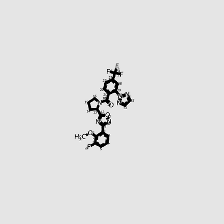 COc1c(F)cccc1-c1noc(C2CCCN2C(=O)c2ccc(C(F)(F)F)cc2-n2nccn2)n1